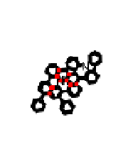 c1ccc(-c2ccc(-c3ccccc3N(c3ccc(-c4cccc5c6ccccc6n(-c6ccccc6)c45)cc3)c3cccc(-c4ccccc4)c3-c3ccccc3-c3ccccc3)cc2)cc1